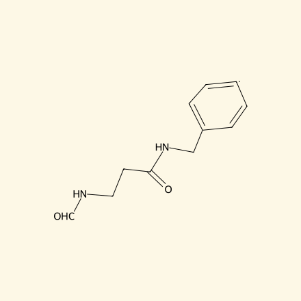 O=CNCCC(=O)NCc1cc[c]cc1